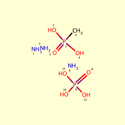 CP(=O)(O)O.N.N.N.O=P(O)(O)O